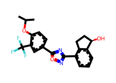 CC(C)Oc1ccc(-c2nc(-c3cccc4c3CC[C@H]4O)no2)cc1C(F)(F)F